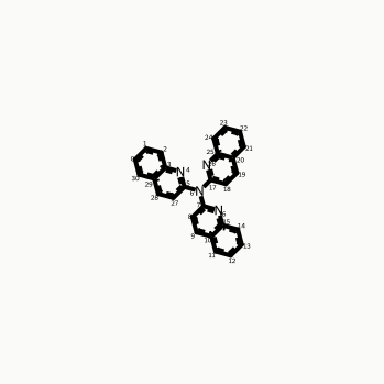 c1ccc2nc(N(c3ccc4ccccc4n3)c3ccc4ccccc4n3)ccc2c1